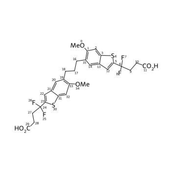 COc1cc2sc(C(F)(F)CCC(=O)O)cc2cc1CCCc1cc2cc(C(F)(F)CCC(=O)O)sc2cc1OC